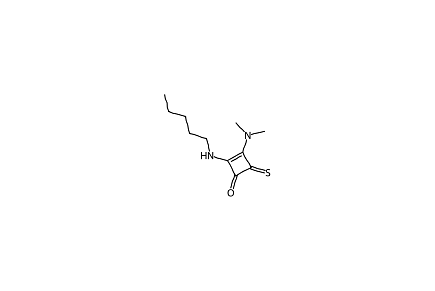 CCCCCNc1c(N(C)C)c(=S)c1=O